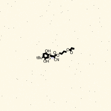 C=CC(=O)OCCCCOC(=O)/C(C#N)=C1\Sc2c(O)cc(C(C)(C)C)c(O)c2S1